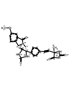 COc1ccc2c(c1)C(=O)N(C[C@]1(c3ccc(C#C[C@]4(C)NC(=O)NC4=O)cc3)NC(=O)NC1=O)C2